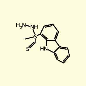 CS(C=S)(NN)c1cccc2c1[nH]c1ccccc12